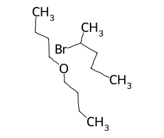 CCCC(C)Br.CCCCOCCCC